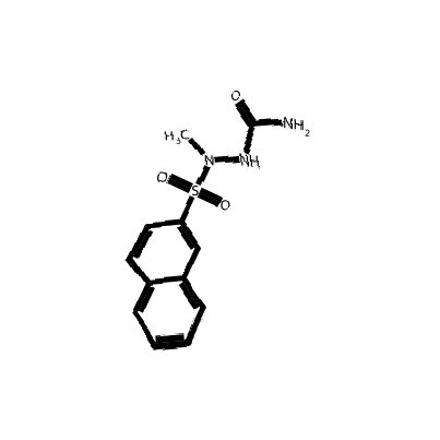 CN(NC(N)=O)S(=O)(=O)c1ccc2ccccc2c1